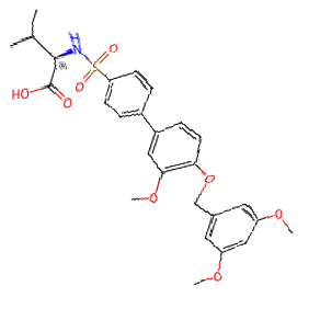 COc1cc(COc2ccc(-c3ccc(S(=O)(=O)N[C@@H](C(=O)O)C(C)C)cc3)cc2OC)cc(OC)c1